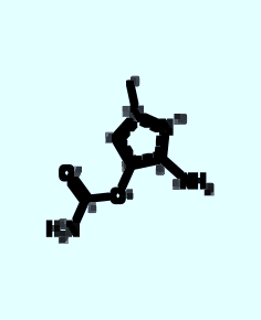 Cn1cc(OC(N)=O)c(N)n1